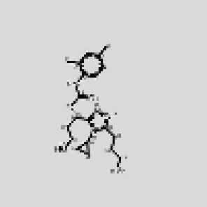 Cc1ccc(NC(=O)C[C@@H](CCO)c2nnc(CCCC(C)C)n2C2CC2)c(C)c1